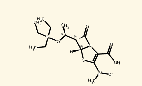 CC[Si](CC)(CC)O[C@@H](C)[C@@H]1C(=O)N2C(C(=O)O)=C([S+](C)[O-])S[C@H]12